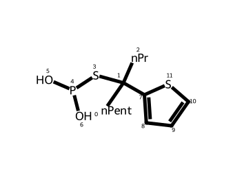 CCCCCC(CCC)(SP(O)O)c1cccs1